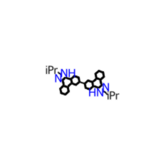 CC(C)c1nc2c3ccccc3c3cc(-c4ccc5c(c4)c4ccccc4c4nc(C(C)C)[nH]c54)ccc3c2[nH]1